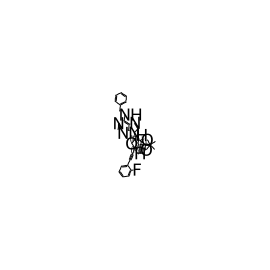 CC1(C)O[C@H]2[C@H](O1)[C@@H](C#Cc1ccccc1F)O[C@H]2n1cnc2c(NCc3ccccc3)ncnc21